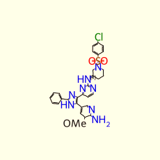 COC1C=C(c2[nH]c(-c3ccccc3)nc2-c2ccnc(N[C@@H]3CCCN(S(=O)(=O)c4ccc(Cl)cc4)C3)n2)C=NC1N